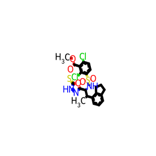 COC(=O)c1c(Cl)ccc(S(=O)(=O)NC(c2n[nH]c(=S)o2)C(C)c2cccc3c2CCC3)c1Cl